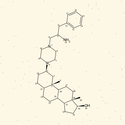 C[C@]12C[C@H](N3CCN(CC(N)Cc4ccccc4)CC3)CCC1CCC1C2CC[C@@]2(C)C1CC[C@@H]2O